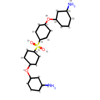 NC1CCCC(OC2CCC(S(=O)(=O)C3CCC(OC4CCCC(N)C4)CC3)CC2)C1